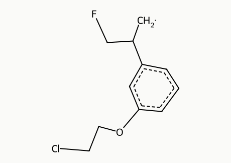 [CH2]C(CF)c1cccc(OCCCl)c1